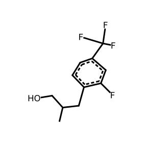 CC(CO)Cc1ccc(C(F)(F)F)cc1F